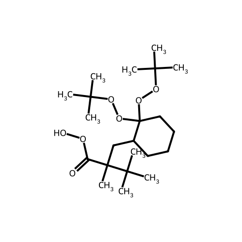 CC(C)(C)OOC1(OOC(C)(C)C)CCCCC1CC(C)(C(=O)OO)C(C)(C)C